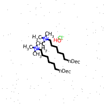 CCCCCCCCCCCCCCCC[N+](C)(C)C.CCCCCCCCCCCCCCCC[N+](C)(C)C.[Cl-].[OH-]